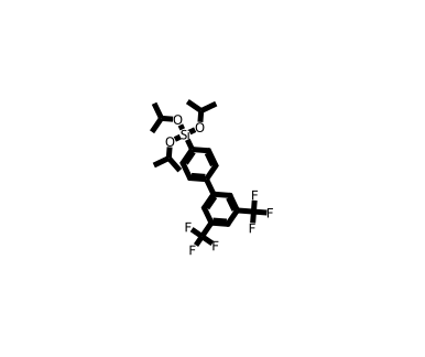 CC(C)O[Si](OC(C)C)(OC(C)C)c1ccc(-c2cc(C(F)(F)F)cc(C(F)(F)F)c2)cc1